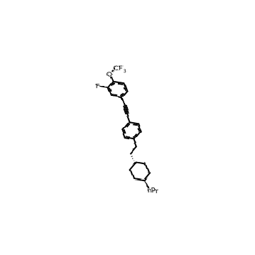 CCC[C@H]1CC[C@H](CCc2ccc(C#Cc3ccc(OC(F)(F)F)c(F)c3)cc2)CC1